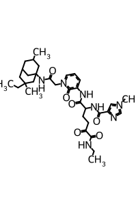 CCNC(=O)C(=O)CCC(NC(=O)c1cn(C)cn1)C(=O)Nc1cccn(CC(=O)NC23CC(C)CC(CC(C)(CC)C2)C3)c1=O